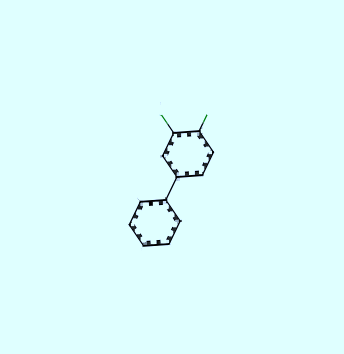 Clc1ccc(-c2c[c]ccc2)cc1Cl